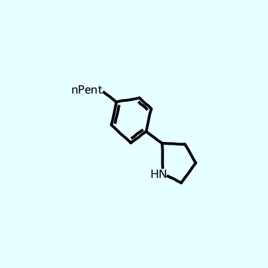 CCCCCc1ccc(C2CCCN2)cc1